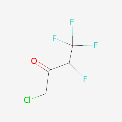 O=C(CCl)C(F)C(F)(F)F